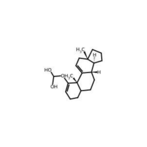 C[C@]12C(OC(O)O)=CCCC1CC[C@@H]1C2=CC[C@]2(C)CCC[C@@H]12